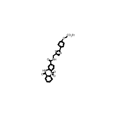 CCOC(=O)COc1ccc(-c2ncc(CNC(=O)c3ccc4c(c3)NC(=O)c3ccccc3S4(=O)=O)s2)cc1